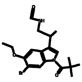 CCOc1cc2c(C(C)CNC=O)cn(C(=O)C(C)(C)C)c2cc1Br